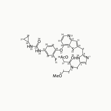 COCCN(Cc1cnc(Cc2cc3nccc(Oc4ccc(NC(=O)NC5CC5)cc4F)c3s2)[nH]1)C(=O)COC(C)=O